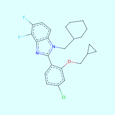 Fc1ccc2c(nc(-c3ccc(Cl)cc3OCC3CC3)n2CC2CCCCC2)c1F